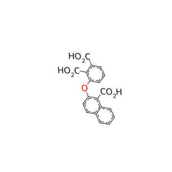 O=C(O)c1cccc(Oc2ccc3ccccc3c2C(=O)O)c1C(=O)O